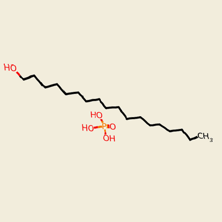 CCCCCCCCCCCCCCCCCCO.O=P(O)(O)O